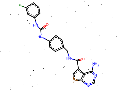 Nc1ncnc2scc(C(=O)NCc3ccc(NC(=O)Nc4cccc(F)c4)cc3)c12